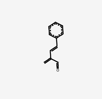 C=C([C]=O)C=Cc1ccccc1